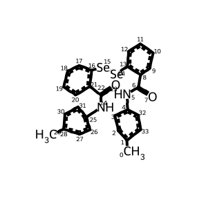 Cc1ccc(NC(=O)c2ccccc2[Se][Se]c2ccccc2C(=O)Nc2ccc(C)cc2)cc1